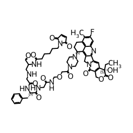 CC[C@@]1(O)C(=O)OCc2c1cc1n(c2=O)Cc2c-1nc1cc(F)c(C)c3c1c2[C@@H](N1CCN(C(=O)COCNC(=O)CNC(=O)[C@H](Cc2ccccc2)NC(=O)CNCC(C=O)NC(=O)CCCCCN2C(=O)C=CC2=O)CC1)CC3